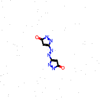 O=C1C=C(N=NC2=CC(=O)N=N2)N=N1